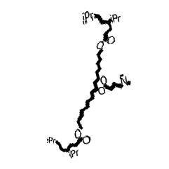 CC(C)CCC(CCC(=O)OCCCCCCCCC(CCCCCCCCOC(=O)CCC(CCC(C)C)C(C)C)OC(=O)CCCN(C)C)C(C)C